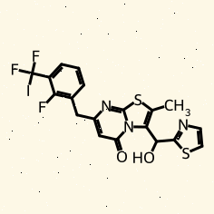 Cc1sc2nc(Cc3cccc(C(F)(F)I)c3F)cc(=O)n2c1C(O)c1nccs1